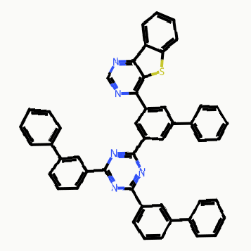 c1ccc(-c2cccc(-c3nc(-c4cccc(-c5ccccc5)c4)nc(-c4cc(-c5ccccc5)cc(-c5ncnc6c5sc5ccccc56)c4)n3)c2)cc1